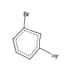 [18F]c1cccc(Br)c1